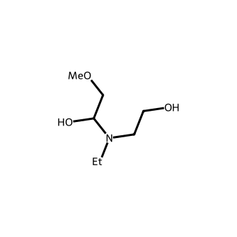 CCN(CCO)C(O)COC